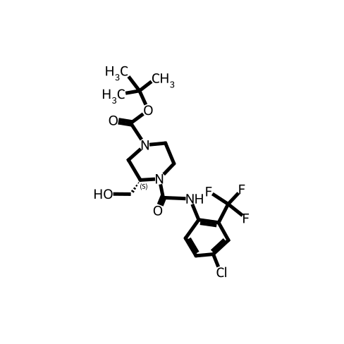 CC(C)(C)OC(=O)N1CCN(C(=O)Nc2ccc(Cl)cc2C(F)(F)F)[C@H](CO)C1